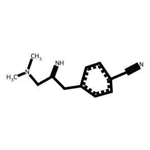 CN(C)CC(=N)Cc1ccc(C#N)cc1